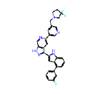 Fc1cccc(-c2cccc3[nH]c(-c4n[nH]c5cnc(-c6cncc(CN7CCC(F)(F)C7)c6)cc45)cc23)c1